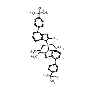 CCC[Si](CCC)(C1C(C)=Cc2c(-c3ccc(C(C)(C)C)cc3)cccc21)C1C(CC)=Cc2c(-c3ccc(C(C)(C)C)cc3)cccc21